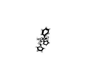 O=C([C@H]1CCC[C@@]1(C(=O)O)S(=O)(=O)c1ccccc1)N1CCCC1